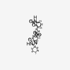 O=C1NC(C2CCCCC2)=NC12CCN(S(=O)(=O)CCc1cccc3[nH]c(=O)oc13)CC2